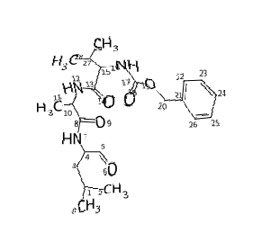 CC(C)CC(C=O)NC(=O)C(C)NC(=O)C(NC(=O)OCc1ccccc1)C(C)C